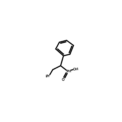 CC(C)CC(c1ccccc1)[PH](=O)O